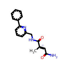 C/C(=C\C(N)=O)C(=O)NCc1cccc(-c2ccccc2)n1